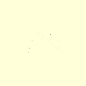 Cc1ncccc1Nc1nccc(-c2cccc(-c3cc(C4(O)CCN(C)C4=O)on3)n2)n1